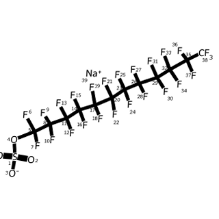 O=S(=O)([O-])OC(F)(F)C(F)(F)C(F)(F)C(F)(F)C(F)(F)C(F)(F)C(F)(F)C(F)(F)C(F)(F)C(F)(F)C(F)(F)C(F)(F)F.[Na+]